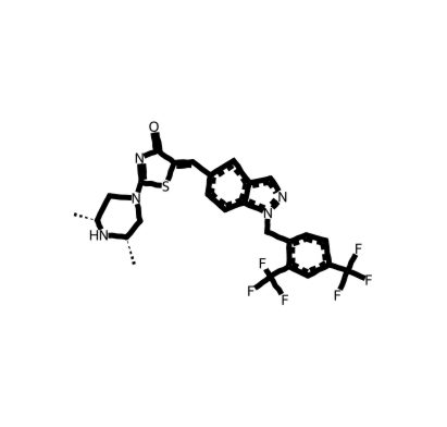 C[C@@H]1CN(C2=NC(=O)/C(=C/c3ccc4c(cnn4Cc4ccc(C(F)(F)F)cc4C(F)(F)F)c3)S2)C[C@H](C)N1